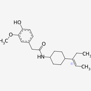 C/C=C(\CC)C1CCC(NC(=O)Cc2ccc(O)c(OC)c2)CC1